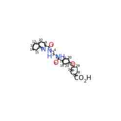 O=C(NCCNC(=O)c1ccc2ccccc2n1)c1ccc(O[C@H]2CC[C@@H](C(=O)O)CC2)cc1